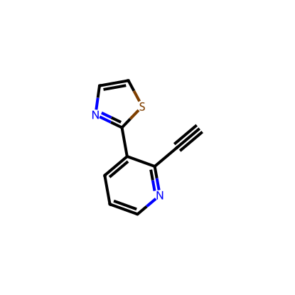 C#Cc1ncccc1-c1nccs1